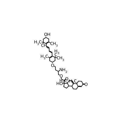 CC1=C(/C=C/C=C/C2=C(C)C[C@@H](OCCC(N)COCC(=O)[C@@]3(O)CCC4C5CCC6=CC(=O)CC[C@]6(C)C5=CC[C@@]43C)CC2(C)C)C(C)(C)C[C@H](O)C1